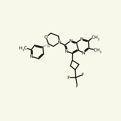 Cc1cc([C@H]2CN(c3nc(C4CC(C(F)(F)F)C4)c4nc(C)c(C)nc4n3)CCO2)ccn1